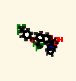 O=C(O)C1CC2CCC(C1)N2C(=O)c1ccc2ccc(OC3CCC(C(F)(F)F)CC3)c(C(F)(F)F)c2c1